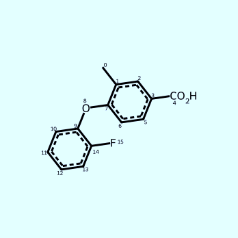 Cc1cc(C(=O)O)ccc1Oc1ccccc1F